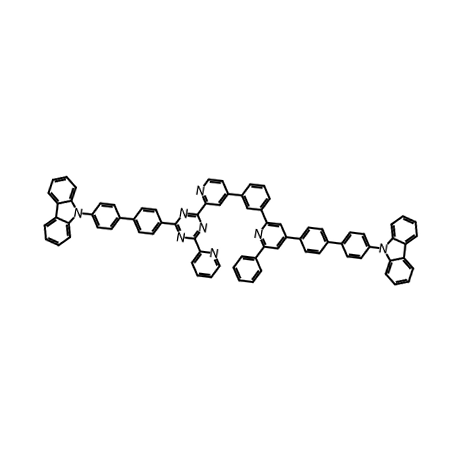 c1ccc(-c2cc(-c3ccc(-c4ccc(-n5c6ccccc6c6ccccc65)cc4)cc3)cc(-c3cccc(-c4ccnc(-c5nc(-c6ccc(-c7ccc(-n8c9ccccc9c9ccccc98)cc7)cc6)nc(-c6ccccn6)n5)c4)c3)n2)cc1